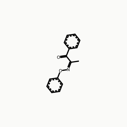 CC(=NOc1ccccc1)C(=O)c1ccccc1